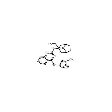 Cc1cc(Nc2nc(NC3CC4CCC(C3)N4CCC#N)nc3ccccc23)n[nH]1